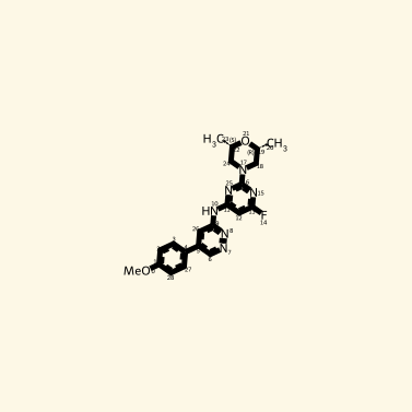 COc1ccc(-c2cnnc(Nc3cc(F)nc(N4C[C@@H](C)O[C@@H](C)C4)n3)c2)cc1